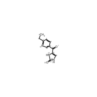 CCc1ccc(C(=O)c2c[nH]c(=O)[nH]2)cn1